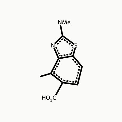 CNc1nc2c(C)c(C(=O)O)ccc2s1